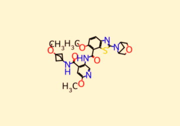 COc1cc(C(=O)NC23CC(OC)(C2)C3)c(NC(=O)c2c(OC)ccc3nc(N4C5COCC4C5)sc23)cn1